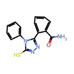 NC(=O)c1ccccc1-c1nnc(S)n1-c1ccccc1